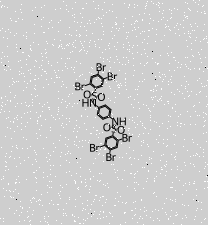 O=S(=O)(Nc1ccc(NS(=O)(=O)c2cc(Br)c(Br)cc2Br)cc1)c1cc(Br)c(Br)cc1Br